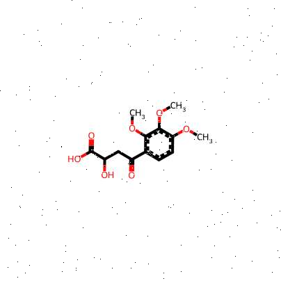 COc1ccc(C(=O)CC(O)C(=O)O)c(OC)c1OC